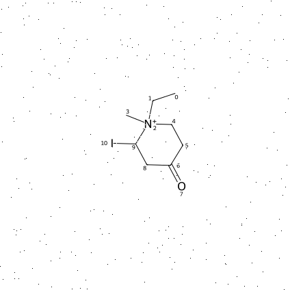 CC[N+]1(C)CCC(=O)CC1I